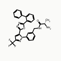 C[C@H](N)C(=O)NCc1cccc(-n2nc(C(F)(F)F)cc2-c2nnc(-c3ccccc3-c3ccccc3)o2)c1